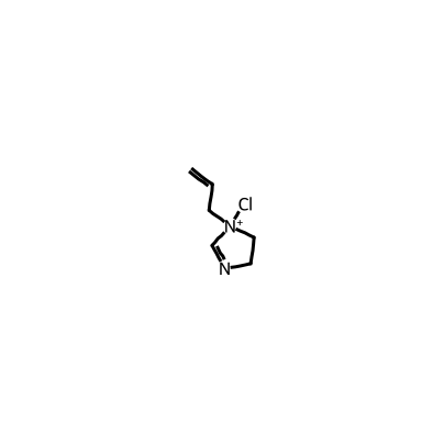 C=CC[N+]1(Cl)C=NCC1